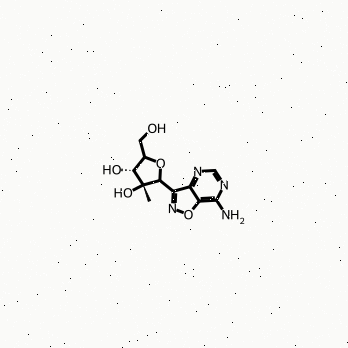 C[C@]1(O)C(c2noc3c(N)ncnc23)OC(CO)[C@H]1O